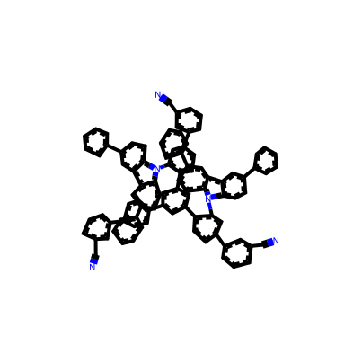 N#Cc1cccc(-c2ccc(-c3cc(-c4ccc(-c5cccc(C#N)c5)cc4-n4c5ccc(-c6ccccc6)cc5c5cc(-c6ccccc6)ccc54)cc(-c4ccc(-c5cccc(C#N)c5)cc4-n4c5ccc(-c6ccccc6)cc5c5cc(-c6ccccc6)ccc54)c3)cc2)c1